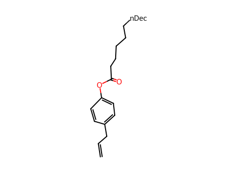 C=CCc1ccc(OC(=O)CCCCCCCCCCCCCCC)cc1